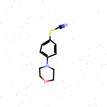 N#CSc1ccc(N2CCOCC2)cc1